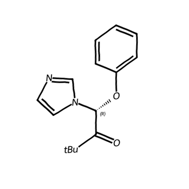 CC(C)(C)C(=O)[C@@H](Oc1ccccc1)n1ccnc1